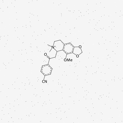 COc1c2c(cc3c1C(CC(=O)c1ccc(C#N)cc1)[N+](C)(C)CC3)OCO2